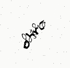 O=C(c1csc(C2COc3ccccc3O2)n1)N1CCOCC1